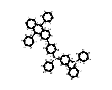 c1ccc(-c2c3ccccc3c(-c3ccccc3)c3cc(-c4ccc(N(c5ccccc5)c5ccc6c(c5)c5ccccc5n6-c5ccccc5)cc4)ccc23)cc1